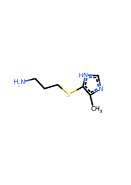 Cc1nc[nH]c1SCCCN